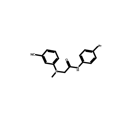 CC(C)c1ccc(NC(=O)CN(C)c2cccc(C#N)c2)cc1